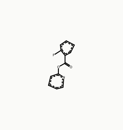 O=C(Oc1ccccn1)c1ccccc1F